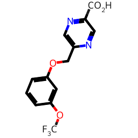 O=C(O)c1cnc(COc2cccc(OC(F)(F)F)c2)cn1